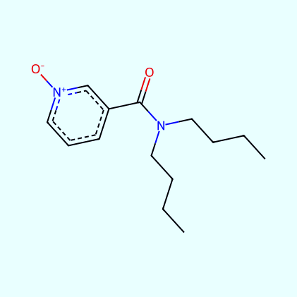 CCCCN(CCCC)C(=O)c1ccc[n+]([O-])c1